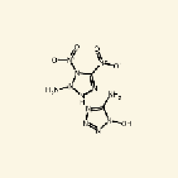 NN1NN=C([N+](=O)[O-])N1[N+](=O)[O-].Nc1nnnn1O